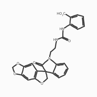 O=C(NCCN1C(=O)C2(COc3cc4c(cc32)OCO4)c2ccccc21)Nc1ccccc1C(=O)O